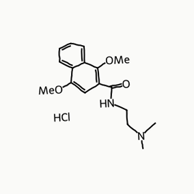 COc1cc(C(=O)NCCN(C)C)c(OC)c2ccccc12.Cl